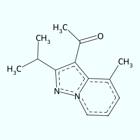 CC(=O)c1c(C(C)C)nn2cccc(C)c12